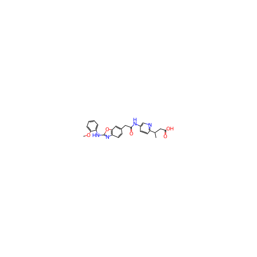 COc1ccccc1Nc1nc2ccc(CC(=O)Nc3ccc(C(C)CC(=O)O)nc3)cc2o1